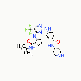 CC(C)NC(=O)C1CCCC1Nc1nc(Nc2ccc(C(=O)NC3CCNCC3)cc2)ncc1C(F)(F)F